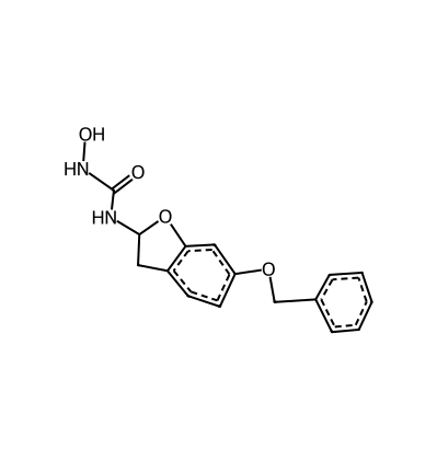 O=C(NO)NC1Cc2ccc(OCc3ccccc3)cc2O1